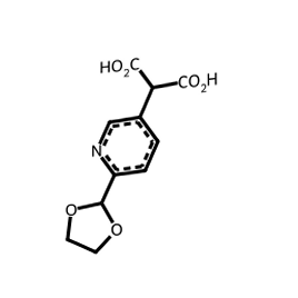 O=C(O)C(C(=O)O)c1ccc(C2OCCO2)nc1